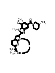 COc1cc(C(=O)N2CCC[C@@H](N)C2)cc2nc(-c3cc4ccc5nc4n3CCCCCCCCOC5(C)C)n(C)c12